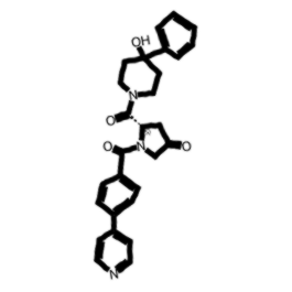 O=C1C[C@@H](C(=O)N2CCC(O)(c3ccccc3)CC2)N(C(=O)c2ccc(-c3ccncc3)cc2)C1